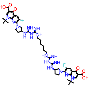 CC(C)(C)n1cc(C(=O)O)c(=O)c2cc(F)c(N3CCC(NC(=N)NC(=N)NCCCCCCNC(=N)NC(=N)NC4CCN(c5nc6c(cc5F)c(=O)c(C(=O)O)cn6C(C)(C)C)C4)C3)nc21